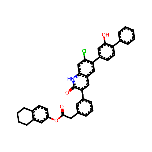 O=C(Cc1cccc(-c2cc3cc(-c4ccc(-c5ccccc5)c(O)c4)c(Cl)cc3[nH]c2=O)c1)Oc1ccc2c(c1)CCCC2